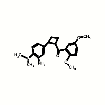 COc1ccc(OC)c(C(=O)C2CCC2c2ccc(N(C)C)c(N)c2)c1